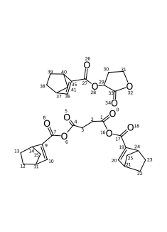 O=C(CCC(=O)OC(=O)C1=CC2CCC1C2)OC(=O)C1=CC2CCC1C2.O=C(OC1CCOC1=O)C1=CC2CCC1C2